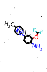 CC1C2CN(c3ccc(N)c(OC(F)F)c3)CC1N2C